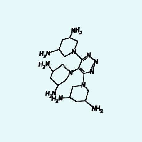 NC1CC(N)CN(c2nnnc(N3CC(N)CC(N)C3)c2N2CC(N)CC(N)C2)C1